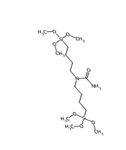 CO[Si](CCCCN(CCCC[Si](OC)(OC)OC)C(N)=O)(OC)OC